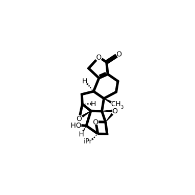 CC(C)[C@]12C[C@]3(O[C@]34[C@]3(O[C@H]3C[C@H]3C5=C(CC[C@@]34C)C(=O)OC5)[C@@H]1O)O2